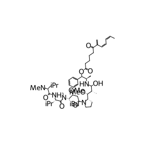 C=C(/C=C\C=C/C)C(=O)CCCCC(=O)OC(c1ccccc1)[C@@H](C)NC(O)[C@H](C)[C@@H](OC)[C@@H]1CCCN1C(=O)C[C@@H](OC)[C@H]([C@@H](C)CC)N(C)C(=O)[C@@H](NC(=O)[C@@H](NC)C(C)C)C(C)C